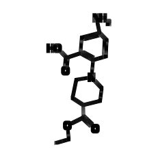 CCOC(=O)C1CCN(c2ccc(N)cc2C(=O)O)CC1